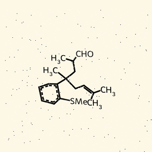 CSc1ccccc1C(C)(CC=C(C)C)CC(C)C=O